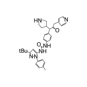 Cc1ccc(-n2nc(C(C)(C)C)cc2NC(=O)Nc2ccc(C(C(=O)Cc3ccncc3)C3CCNCC3)cc2)cc1